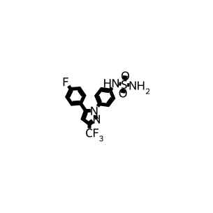 NS(=O)(=O)Nc1ccc(-n2nc(C(F)(F)F)cc2-c2ccc(F)cc2)cc1